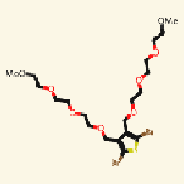 COCCOCCOCCOCc1c(Br)sc(Br)c1COCCOCCOCCOC